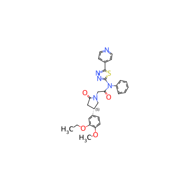 CCOc1cc([C@@H]2CC(=O)N(CC(=O)N(c3ccccc3)c3nnc(-c4ccncc4)s3)C2)ccc1OC